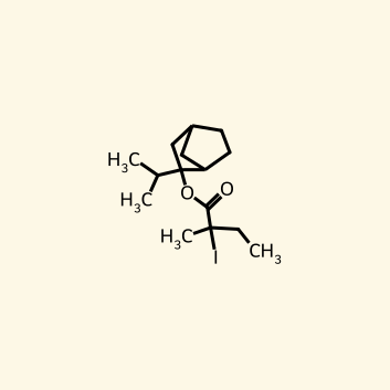 CCC(C)(I)C(=O)OC1(C(C)C)CC2CCC1C2